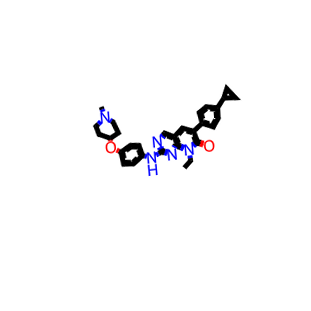 CCn1c(=O)c(-c2ccc(C3CC3)cc2)cc2cnc(Nc3ccc(OC4CCN(C)CC4)cc3)nc21